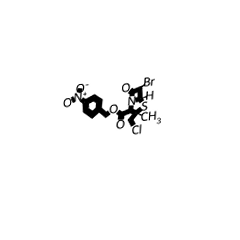 C[C@@]1(CCl)S[C@@H]2[C@@H](Br)C(=O)N2C1C(=O)OCc1ccc([N+](=O)[O-])cc1